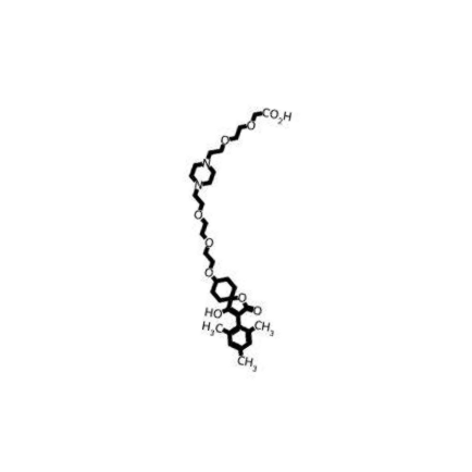 Cc1cc(C)c(C2=C(O)C3(CCC(OCCOCCOCCN4CCN(CCOCCOCC(=O)O)CC4)CC3)OC2=O)c(C)c1